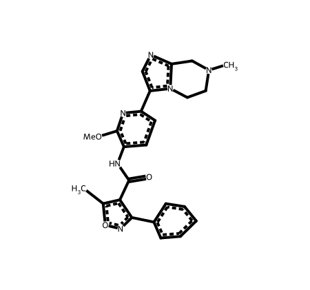 COc1nc(-c2cnc3n2CCN(C)C3)ccc1NC(=O)c1c(-c2ccccc2)noc1C